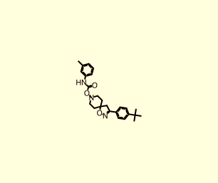 Cc1cccc(NC(=O)ON2CCC3(CC2)CC(c2ccc(C(C)(C)C)cc2)=NO3)c1